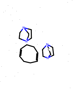 C1=C\CC/C=C\CC/1.C1CN2CCN1CC2.C1CN2CCN1CC2